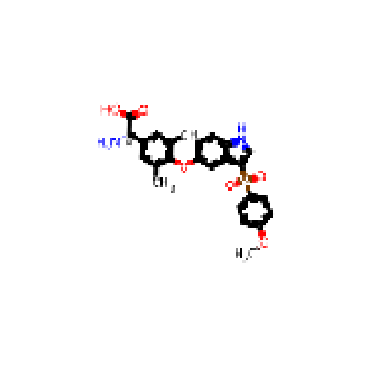 COc1ccc(S(=O)(=O)c2c[nH]c3ccc(Oc4c(C)cc([C@H](N)C(=O)O)cc4C)cc23)cc1